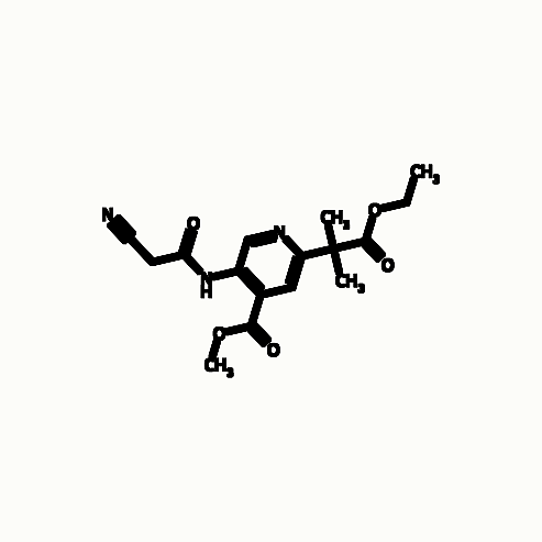 CCOC(=O)C(C)(C)c1cc(C(=O)OC)c(NC(=O)CC#N)cn1